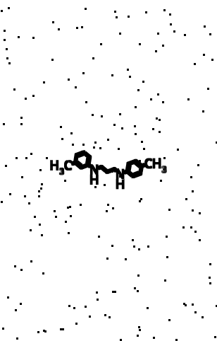 Cc1ccc(NCCCNc2cccc(C)c2)cc1